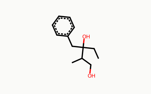 CCC(O)(Cc1ccccc1)C(C)CO